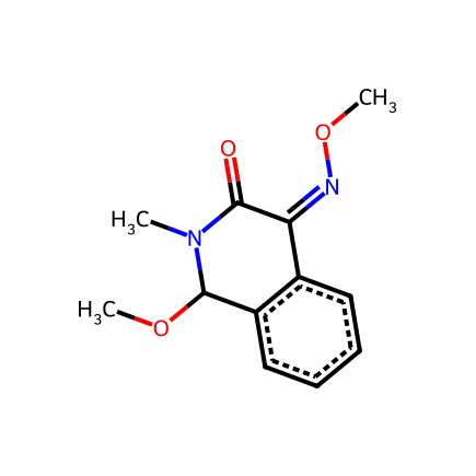 CON=C1C(=O)N(C)C(OC)c2ccccc21